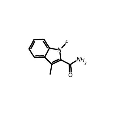 Cc1c(C(N)=O)n(F)c2ccccc12